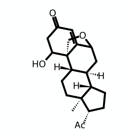 CC(=O)[C@H]1CC[C@H]2[C@@H]3CC4OC[C@]5(C4=CC(=O)CC5O)[C@H]3CC[C@]12C